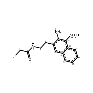 Nc1c(CCNC(=O)CI)cc2ccccc2c1S(=O)(=O)O